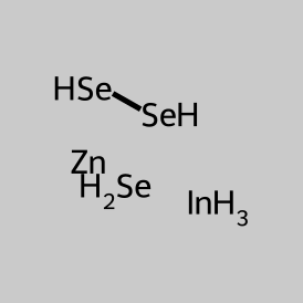 [InH3].[SeH2].[SeH][SeH].[Zn]